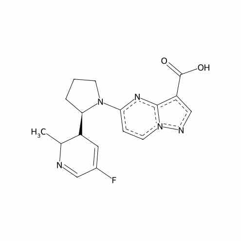 CC1N=CC(F)=CC1[C@H]1CCCN1c1ccn2ncc(C(=O)O)c2n1